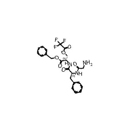 NCC(=O)N[C@@H](Cc1ccccc1)C(=O)N[C@@H](COC(=O)C(F)(F)F)C(=O)OCc1ccccc1